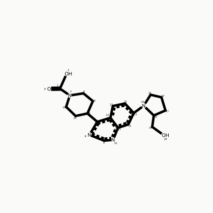 O=C(O)N1CCC(c2ncnc3cc(N4CCCC4CO)ccc23)CC1